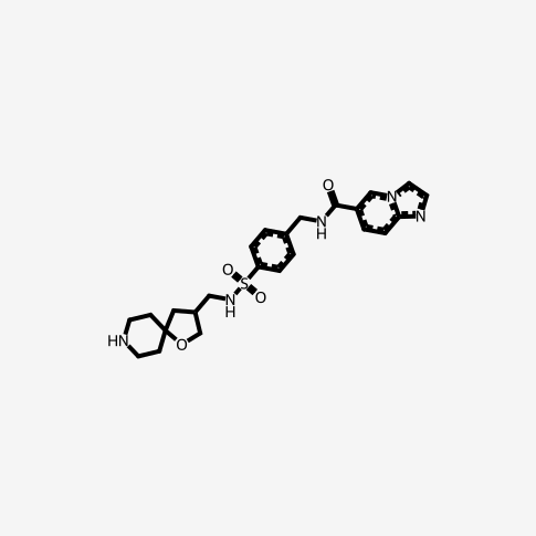 O=C(NCc1ccc(S(=O)(=O)NCC2COC3(CCNCC3)C2)cc1)c1ccc2nccn2c1